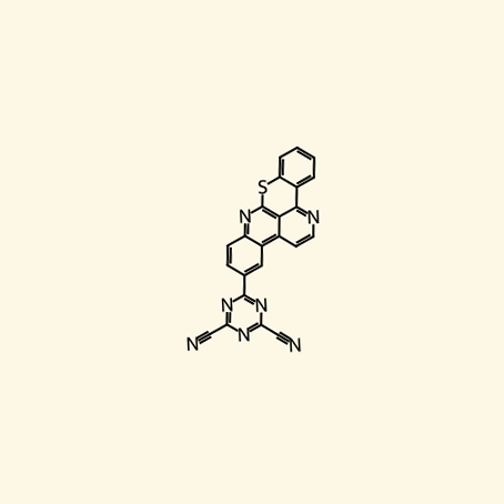 N#Cc1nc(C#N)nc(-c2ccc3nc4c5c(nccc5c3c2)-c2ccccc2S4)n1